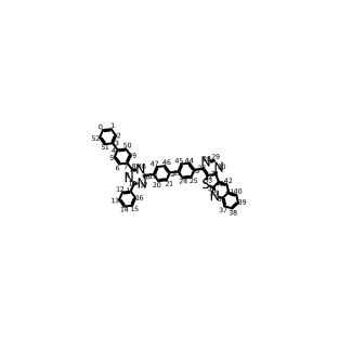 c1ccc(-c2ccc(-c3nc(-c4ccccc4)nc(-c4ccc(-c5ccc(-c6ncnc7c6sc6nc8ccccc8cc67)cc5)cc4)n3)cc2)cc1